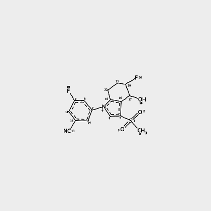 CS(=O)(=O)c1cn(-c2cc(F)cc(C#N)c2)c2c1C(O)C(F)CC2